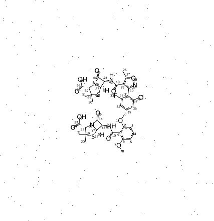 COc1cccc(OC)c1C(=O)N[C@@H]1C(=O)N2[C@@H]1SC(C)(C)[C@@H]2C(=O)O.Cc1onc(-c2c(F)cccc2Cl)c1C(=O)N[C@@H]1C(=O)N2[C@@H]1SC(C)(C)[C@@H]2C(=O)O